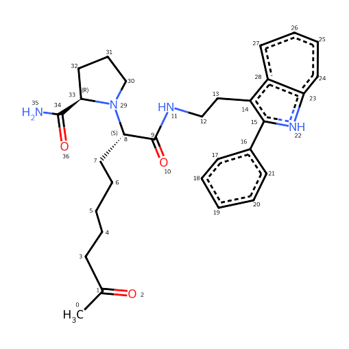 CC(=O)CCCCC[C@@H](C(=O)NCCc1c(-c2ccccc2)[nH]c2ccccc12)N1CCC[C@@H]1C(N)=O